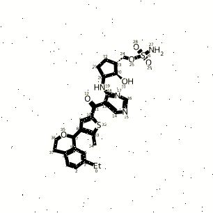 CCc1ccc2c(c1)C(c1cc(C(=O)c3cncnc3NC3CC[C@H](COS(N)(=O)=O)[C@H]3O)sc1C)OCC2